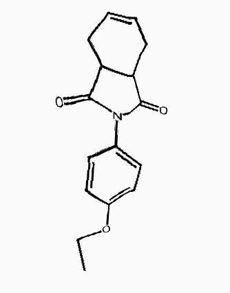 CCOc1ccc(N2C(=O)C3CC=CCC3C2=O)cc1